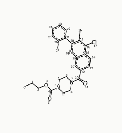 CCCOC(=O)N1CCN(C(=O)c2ccc3c(Cl)c(C)c(-c4ccccc4C)nc3c2)CC1